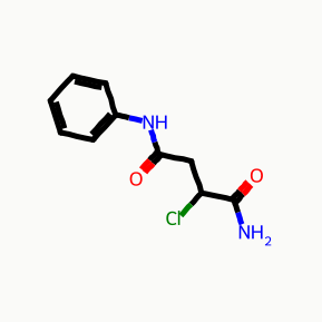 NC(=O)C(Cl)CC(=O)Nc1ccccc1